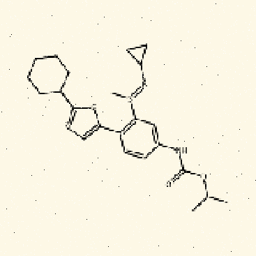 CC(C)OC(=O)Nc1ccc(-c2cnc(C3CCCCC3)s2)c(/S(C)=N/C2CC2)c1